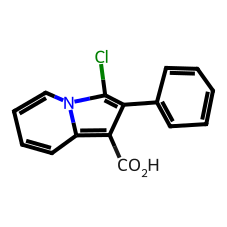 O=C(O)c1c(-c2ccccc2)c(Cl)n2ccccc12